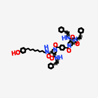 O=C(NCCCCCCCCc1ccc(O)cc1)[C@@H]1CN(C(=O)c2ccc(C(=O)N3C[C@@H](C(=O)N[C@H]4C[C@@H]4c4ccccc4)[C@H](C(=O)N[C@H]4C[C@@H]4c4ccccc4)C3)cc2)C[C@H]1C(=O)N[C@H]1C[C@@H]1c1ccccc1